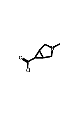 CN1CC2C(C1)C2C(=O)Cl